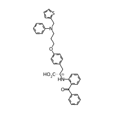 O=C(c1ccccc1)c1ccccc1N[C@@H](Cc1ccc(OCCCN(Cc2cccs2)c2ccccc2)cc1)C(=O)O